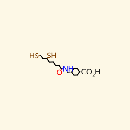 O=C(CCCCC(S)CCS)NC[C@H]1CC[C@H](C(=O)O)CC1